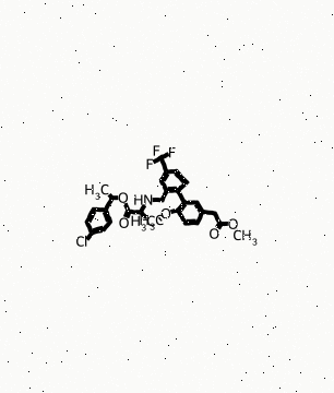 COC(=O)Cc1ccc(OC)c(-c2ccc(C(F)(F)F)cc2CNC(C)C(=O)OC(C)c2ccc(Cl)cc2)c1